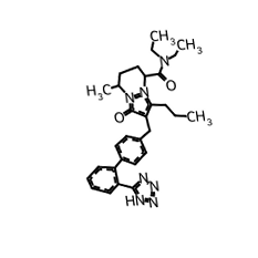 CCCc1c(Cc2ccc(-c3ccccc3-c3nnn[nH]3)cc2)c(=O)n2n1C(C(=O)N(CC)CC)CCC2C